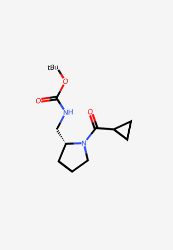 CC(C)(C)OC(=O)NC[C@H]1CCCN1C(=O)C1CC1